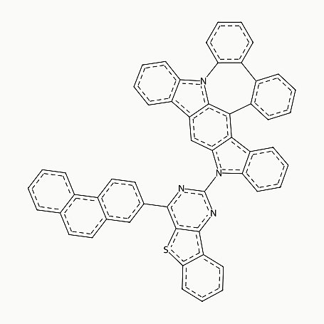 c1ccc2c(c1)-c1ccccc1-n1c3ccccc3c3cc4c(c-2c31)c1ccccc1n4-c1nc(-c2ccc3c(ccc4ccccc43)c2)c2sc3ccccc3c2n1